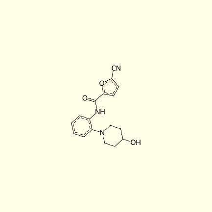 N#Cc1ccc(C(=O)Nc2ccccc2N2CCC(O)CC2)o1